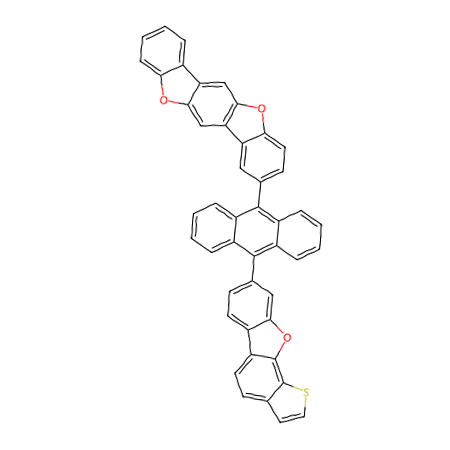 c1ccc2c(c1)oc1cc3c(cc12)oc1ccc(-c2c4ccccc4c(-c4ccc5c(c4)oc4c5ccc5ccsc54)c4ccccc24)cc13